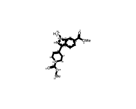 COC(=O)c1ccc2c(C3=CCN(C(=O)OC(C)(C)C)CC3)nn(C)c2c1